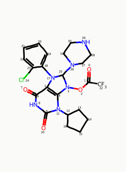 O=C(ON1c2c(c(=O)[nH]c(=O)n2C2CCCC2)N(c2ccccc2Cl)C1N1CCNCC1)C(F)(F)F